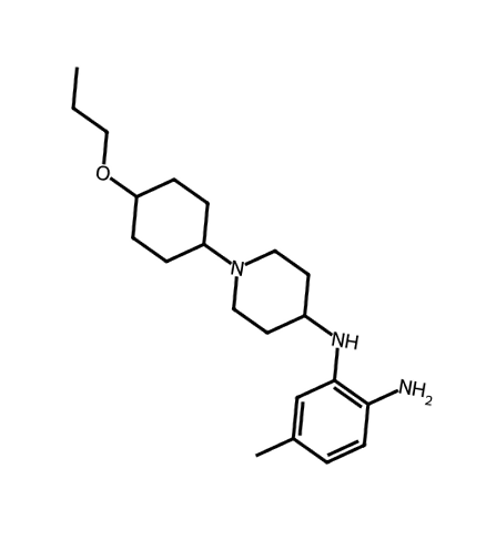 CCCOC1CCC(N2CCC(Nc3cc(C)ccc3N)CC2)CC1